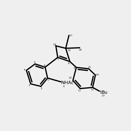 CC(=O)Nc1ccccc1C1=C(c2ccc(C(C)(C)C)cc2)C(C)(C)C1